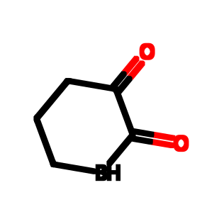 O=C1BCCCC1=O